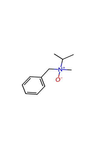 CC(C)[N+](C)([O-])Cc1ccccc1